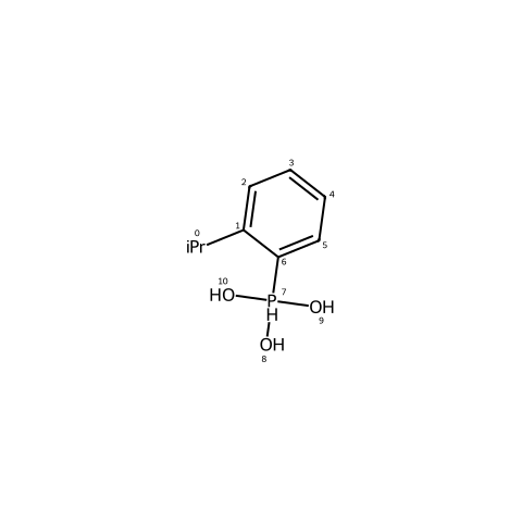 CC(C)c1ccccc1[PH](O)(O)O